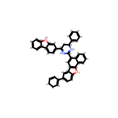 C1=CC(c2ccc3oc4c5ccccc5c(C5=NC(c6ccccc6)CC(c6ccc7c(c6)oc6ccccc67)=N5)cc4c3c2)=CCC1